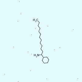 CCCCCCCCCCCCC(N)C1CCCCC1